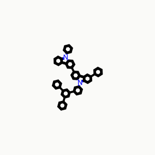 c1ccc(-c2cc(-c3ccccc3)cc(-c3cccc(-n4c5ccc(-c6ccccc6)cc5c5cc(-c6ccc7c(c6)c6ccccc6n7-c6ccccc6)ccc54)c3)c2)cc1